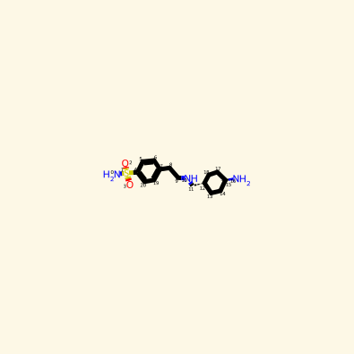 NS(=O)(=O)c1ccc(CCNC[C@H]2CC[C@H](N)CC2)cc1